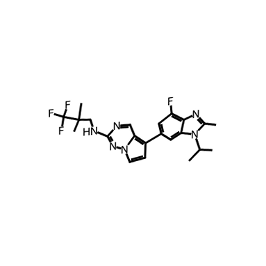 Cc1nc2c(F)cc(-c3ccn4nc(NCC(C)(C)C(F)(F)F)ncc34)cc2n1C(C)C